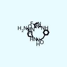 NC(=O)C1C2CC3NNC(=O)Cc4cccc(c4)Nc4ncc(F)c(n4)NC1C3C2